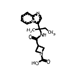 CCC(C)(NC(=O)C1CN(C(=O)O)C1)c1cnc2ccccn12